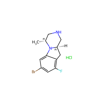 C[C@@H]1CNC[C@H]2Cc3c(F)cc(Br)cc3N21.Cl